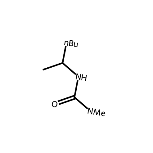 CCCCC(C)NC(=O)NC